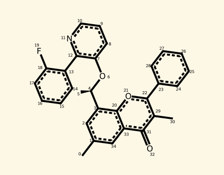 Cc1cc([C@@H](C)Oc2cccnc2-c2ccccc2F)c2oc(-c3ccccc3)c(C)c(=O)c2c1